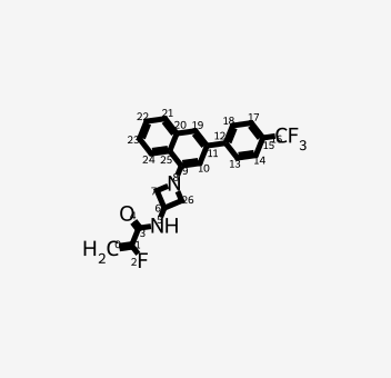 C=C(F)C(=O)NC1CN(c2cc(-c3ccc(C(F)(F)F)cc3)cc3ccccc23)C1